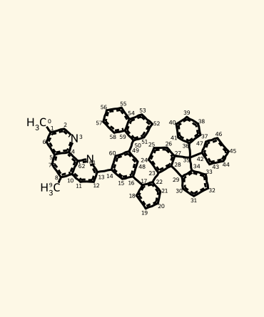 Cc1cnc2c(c1)cc(C)c1ccc(-c3cc(-c4ccccc4-c4cccc5c4-c4ccccc4C5(c4ccccc4)c4ccccc4)cc(-c4cccc5ccccc45)c3)nc12